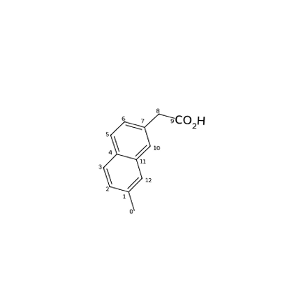 Cc1ccc2ccc(CC(=O)O)cc2c1